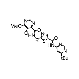 COc1ncnc(C(=O)N[C@@H](C)c2ncc(C(=O)Nc3cc(C(C)(C)C)ncn3)s2)c1Cl